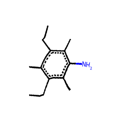 CCc1c(C)c(N)c(C)c(CC)c1C